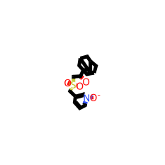 O=C(CS(=O)(=O)Cc1ccc[n+]([O-])c1)C12CC3CC(CC(C3)C1)C2